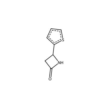 O=C1CC(c2cccs2)N1